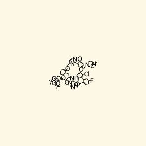 COc1ccccc1-c1nccc(COc2ccccc2CC(Nc2ncnn3cc4c5ccc(F)cc5c5c(Cl)c(OCCN6CCN(C)CC6)ccc5c4c23)C(=O)OCOP(=O)(OC(C)(C)C)OC(C)(C)C)n1